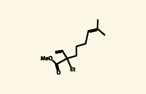 C=CC(CC)(CCCC=C(C)C)C(=O)OC